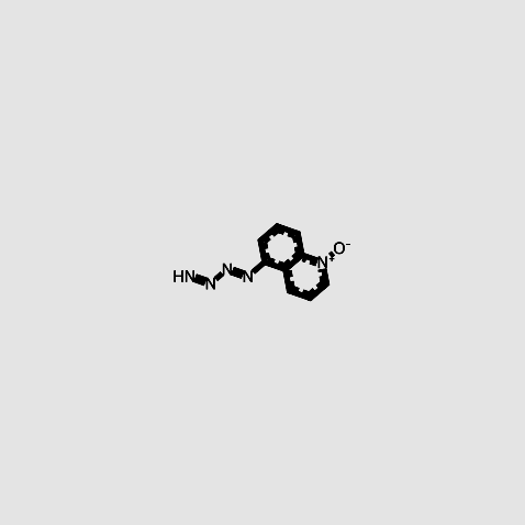 N=NN=Nc1cccc2c1ccc[n+]2[O-]